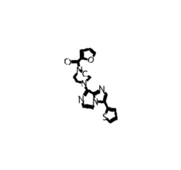 O=C(c1ccco1)N1CCN(c2nccn3c(-c4cccs4)cnc23)CC1